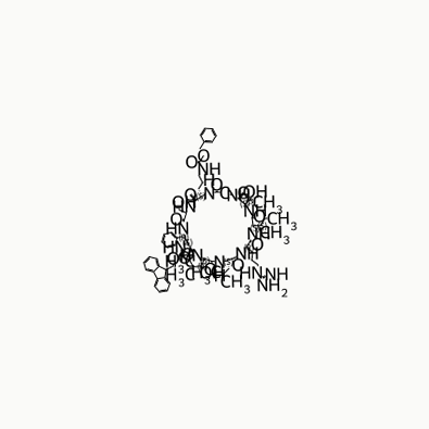 CC[C@H](C)[C@@H]1NC(=O)[C@@H](CCCNC(=N)N)NC(=O)[C@H](CC(C)C)NC(=O)[C@H]([C@H](O)C(C)C)NC(=O)[C@@H](NC(=O)OCC2c3ccccc3-c3ccccc32)[C@@H](c2ccccc2)NC(=O)C(CO)NC(=O)[C@H](CCCNC(=O)OCc2ccccc2)NC(=O)CNC(=O)[C@H]([C@H](C)O)NC1=O